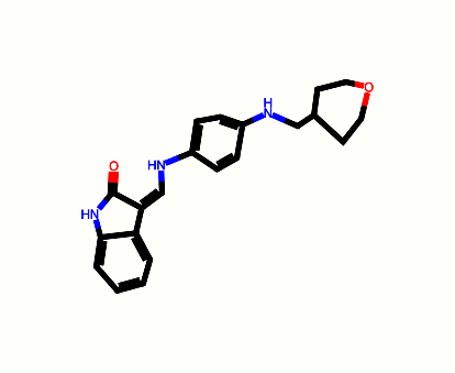 O=C1Nc2ccccc2C1=CNc1ccc(NCC2CCOCC2)cc1